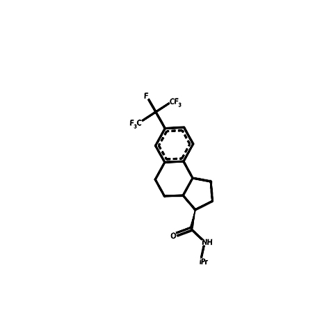 CC(C)NC(=O)[C@@H]1CCC2c3ccc(C(F)(C(F)(F)F)C(F)(F)F)cc3CCC21